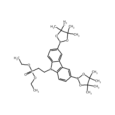 CCOP(=O)(CCn1c2ccc(B3OC(C)(C)C(C)(C)O3)cc2c2cc(B3OC(C)(C)C(C)(C)O3)ccc21)OCC